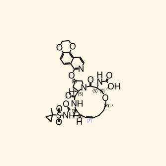 C[C@@H]1CC/C=C\[C@@H]2C[C@@]2(C(=O)NS(=O)(=O)C2(C)CC2)NC(=O)[C@@H]2C[C@@H](Oc3nccc4c5c(ccc34)OCCO5)CN2C(=O)[C@@H](NC(=O)O)[C@H](C)O1